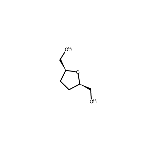 OC[C@@H]1CC[C@H](CO)O1